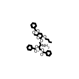 CCCCO[C@H]1C=C2OC(c3ccccc3)OCC2OC1OC[C@H](N)[C@H](OC(=O)c1ccccc1)[C@@H](C)OC(=O)c1ccccc1